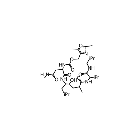 Cc1nc(COC(=O)NC(CC(N)=O)C(=O)NC(CC(C)C)C(O)CC(C)C(=O)NC(C(=O)NCC(C)C)C(C)C)c(C)o1